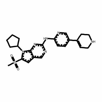 CS(=O)(=O)c1cc2cnc(Nc3ccc(C4=CCNCC4)cn3)nc2n1C1CCCC1